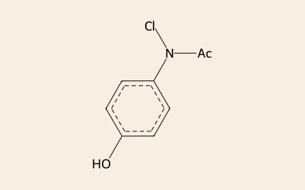 CC(=O)N(Cl)c1ccc(O)cc1